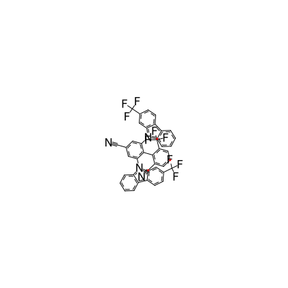 N#Cc1cc(-n2c3ccccc3c3ccc(C(F)(F)F)cc32)c(-c2c(C#N)cccc2C(F)(F)F)c(-n2c3ccccc3c3ccc(C(F)(F)F)cc32)c1